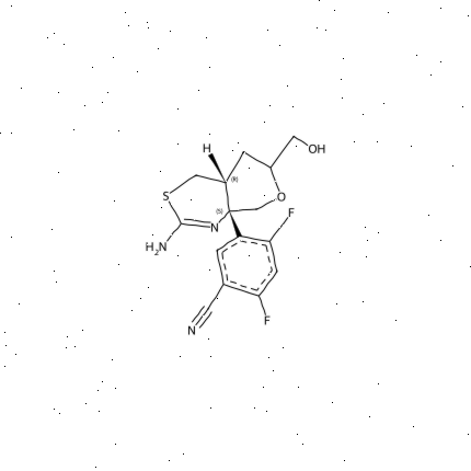 N#Cc1cc([C@]23COC(CO)C[C@H]2CSC(N)=N3)c(F)cc1F